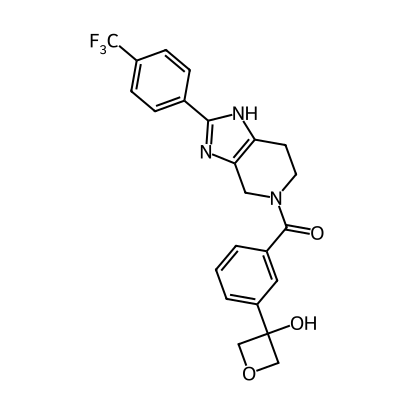 O=C(c1cccc(C2(O)COC2)c1)N1CCc2[nH]c(-c3ccc(C(F)(F)F)cc3)nc2C1